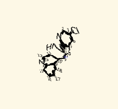 Clc1cnc2c(c1)S/C(=C/c1ccnc3ccccc13)N2